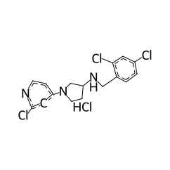 Cl.Clc1ccc(CNC2CCN(c3ccnc(Cl)c3)C2)c(Cl)c1